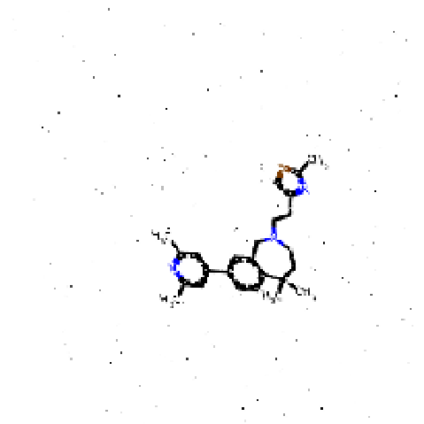 Cc1cc(-c2ccc3c(c2)CN(CCc2csc(C)n2)CCC3(C)C)cc(C)n1